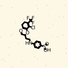 O=CC(CCNc1ccc(S(=O)O)cc1)OC1=CCCC(C(F)(F)F)=C1Cl